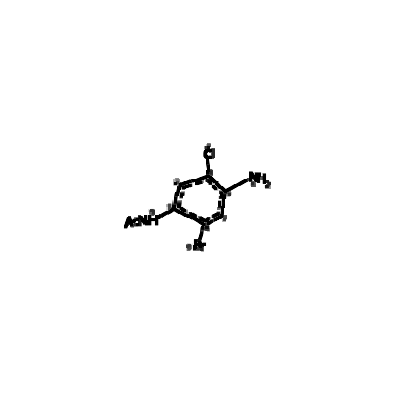 CC(=O)Nc1cc(Cl)c(N)cc1Br